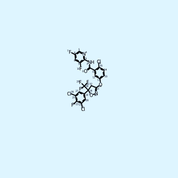 O=C(Nc1ncc(F)cc1F)c1cc(OC2=NOC(c3cc(Cl)c(F)c(Cl)c3)(C(F)(F)F)C2)ccc1Cl